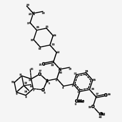 COc1c(CC(B2OC3CC4CC(C4(C)C)C3(C)O2)N(C)C(=O)CC2CCC(CN(C)C)CC2)cccc1C(=O)OC(C)(C)C